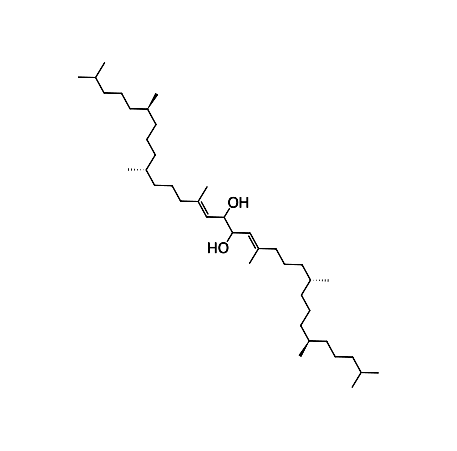 C/C(=C\C(O)C(O)/C=C(\C)CCC[C@H](C)CCC[C@H](C)CCCC(C)C)CCC[C@H](C)CCC[C@H](C)CCCC(C)C